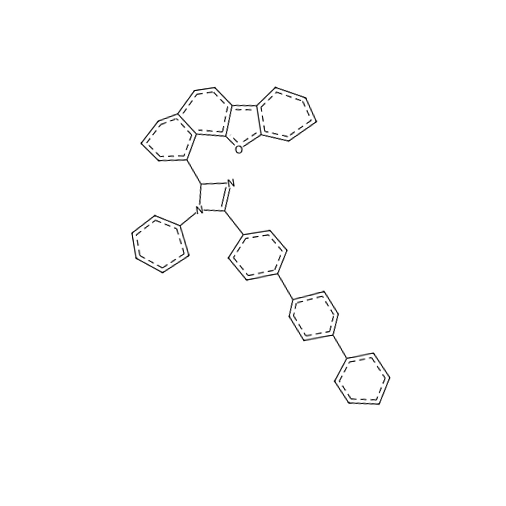 c1ccc(-c2ccc(-c3ccc(C4=NC(c5cccc6ccc7c8ccccc8oc7c56)N4c4ccccc4)cc3)cc2)cc1